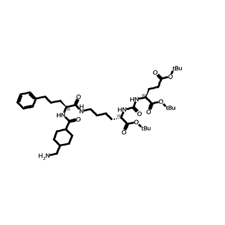 CC(C)(C)OC(=O)CC[C@H](NC(=O)N[C@@H](CCCCNC(=O)[C@H](CCCc1ccccc1)NC(=O)C1CCC(CN)CC1)C(=O)OC(C)(C)C)C(=O)OC(C)(C)C